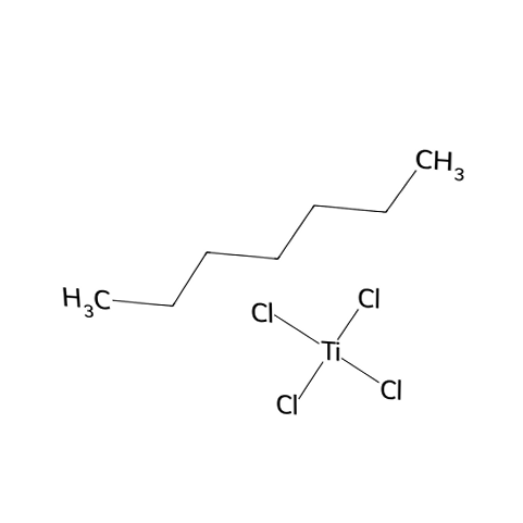 CCCCCCC.[Cl][Ti]([Cl])([Cl])[Cl]